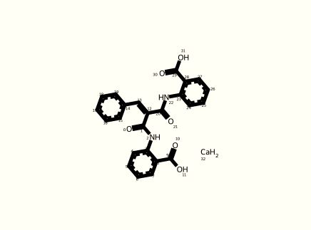 O=C(Nc1ccccc1C(=O)O)C(=Cc1ccccc1)C(=O)Nc1ccccc1C(=O)O.[CaH2]